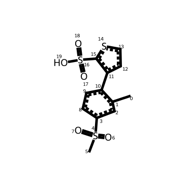 Cc1cc(S(C)(=O)=O)ccc1-c1ccsc1S(=O)(=O)O